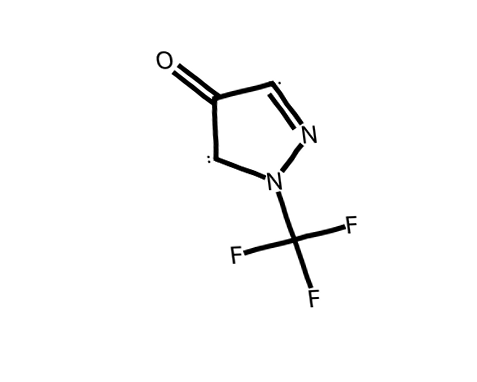 O=C1[C]N(C(F)(F)F)N=[C]1